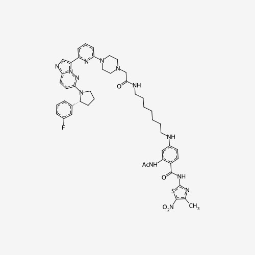 CC(=O)Nc1cc(NCCCCCCCNC(=O)CN2CCN(c3cccc(-c4cnc5ccc(N6CCC[C@@H]6c6cccc(F)c6)nn45)n3)CC2)ccc1C(=O)Nc1nc(C)c([N+](=O)[O-])s1